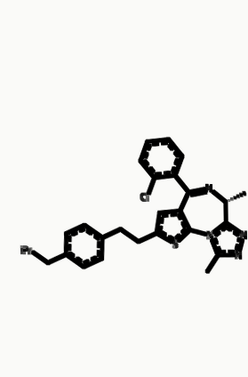 Cc1nnc2n1-c1sc(CCc3ccc(CC(C)C)cc3)cc1C(c1ccccc1Cl)=N[C@@H]2C